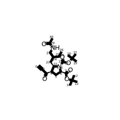 C#CC(=O)[C@@H]1C[C@H](C(=O)OC(C)(C)C)N(C(=O)OC(C)(C)C)[C@@H]1CC(CC)CNC(C)=O